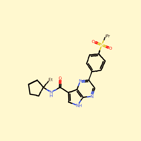 CCC1(NC(=O)c2c[nH]c3ncc(-c4ccc(S(=O)(=O)C(C)C)cc4)nc23)CCCC1